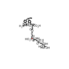 C#CCN(Cc1ccc2nc(N)[nH]c(=O)c2c1)c1ccc(C(=O)NC(CCC(=O)OCCSSCC(NC(=O)C(N)CCC(=O)NC[C@H](O)[C@@H](O)[C@H](O)[C@H](O)CO)C(=O)O)C(=O)O)cc1